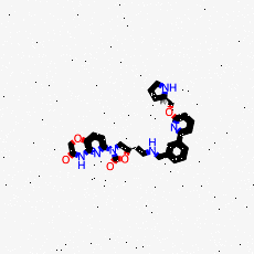 O=C1COc2ccc(N3C[C@H](CCNCc4cccc(-c5cccc(OC[C@H]6CCCN6)n5)c4)OC3=O)nc2N1